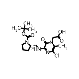 Cc1c(Cl)nc(NC[C@@H]2CCCN2C(=O)OC(C)(C)C)c(=O)n1CC(=O)O